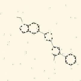 CCOC(=O)Cn1ccc2cc(-c3noc(-c4cc(-c5ccccc5)c(C(F)(F)F)s4)n3)ccc21